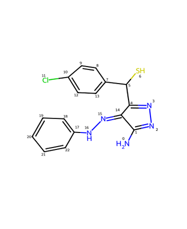 NC1=NN=C(C(S)c2ccc(Cl)cc2)C1=NNc1ccccc1